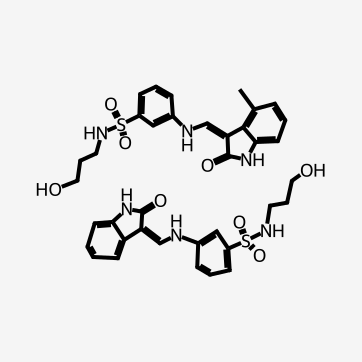 Cc1cccc2c1C(=CNc1cccc(S(=O)(=O)NCCCO)c1)C(=O)N2.O=C1Nc2ccccc2C1=CNc1cccc(S(=O)(=O)NCCCO)c1